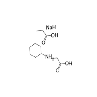 CCC(=O)O.CCC(=O)O.NC1CCCCC1.[NaH]